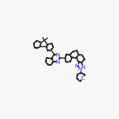 CC1(C)c2ccccc2-c2cc(-c3nc(-c4ccc5c(ccc6ccc7nn(-c8ccccc8)nc7c65)c4)nc4ccccc34)ccc21